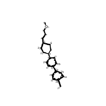 COCCCC1CCC(c2ccc(-c3ccc(C)cc3)cc2)CC1